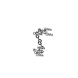 COCC[C@H](NC(=O)OC)C(=O)N1CCCC1c1cc(=O)c2ccc(-c3ccc4cc(-c5cnc([C@@H]6CCCN6C(=O)[C@@H](NC(=O)OC)C(C)C)[nH]5)ccc4c3)cc2[nH]1